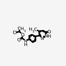 Cc1cc(=O)[nH]nc1-c1ccc(NC(=O)OC(C)Cl)cc1